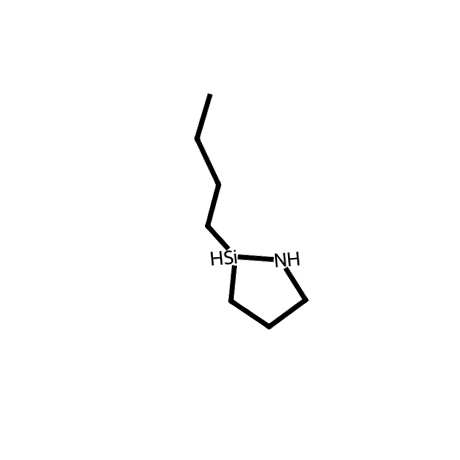 CCCC[SiH]1CCCN1